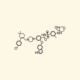 Cc1cc(S(=O)(=O)NC(=O)c2ccc(N3CCN(CC4=C(c5ccc(Cl)cc5)CC(C)(C)CC4)CC3)cc2Oc2ccc3[nH]ccc3c2)ccc1NC1(CO)CCOCC1